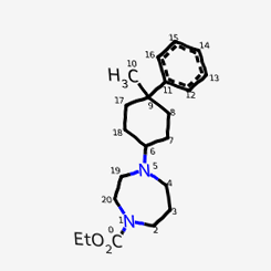 CCOC(=O)N1CCCN(C2CCC(C)(c3ccccc3)CC2)CC1